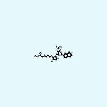 COC(=O)CSCCCS[C@H]1C(=O)CC[C@@H]1/C=C/C(C)(CCc1ccc2ccccc2c1)O[Si](C)(C)C(C)(C)C